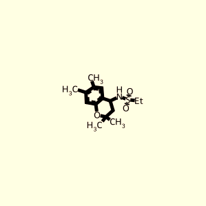 CCS(=O)(=O)NC1CC(C)(C)Oc2cc(C)c(C)cc21